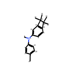 Cc1ccc(N(C)c2ccc3c(c2)C(C)(C)C3(C)C)cc1